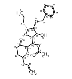 [CH2][CH]C[C@H]1O[C@H]([C@@H](OC(C)=O)[C@H]2OC(CC=C)CCC2=O)C(O)[C@@H]1OCc1ccccc1